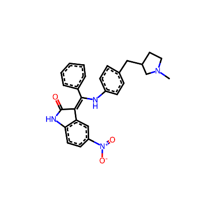 CN1CCC(Cc2ccc(NC(=C3C(=O)Nc4ccc([N+](=O)[O-])cc43)c3ccccc3)cc2)C1